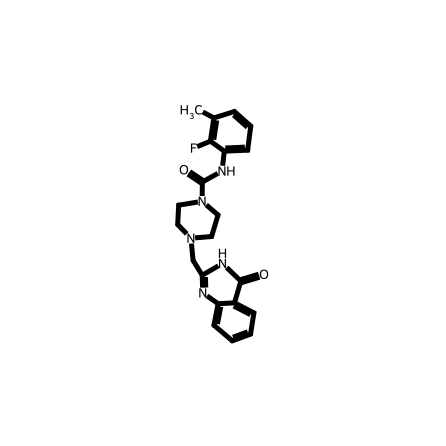 Cc1cccc(NC(=O)N2CCN(Cc3nc4ccccc4c(=O)[nH]3)CC2)c1F